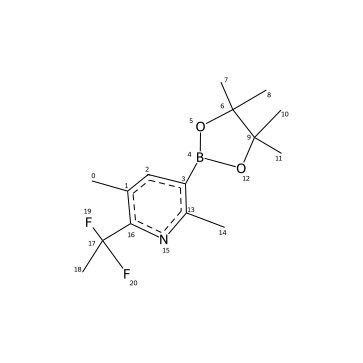 Cc1cc(B2OC(C)(C)C(C)(C)O2)c(C)nc1C(C)(F)F